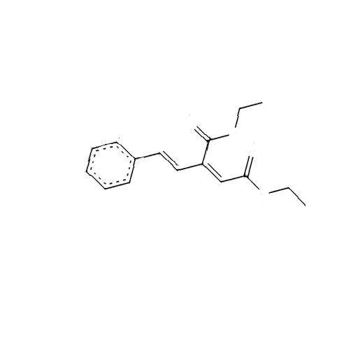 CCOC(=O)/C=C(/C=Cc1ccccc1)C(=O)OCC